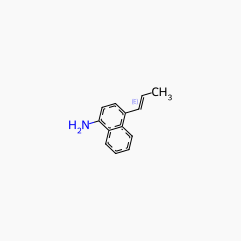 C/C=C/c1ccc(N)c2ccccc12